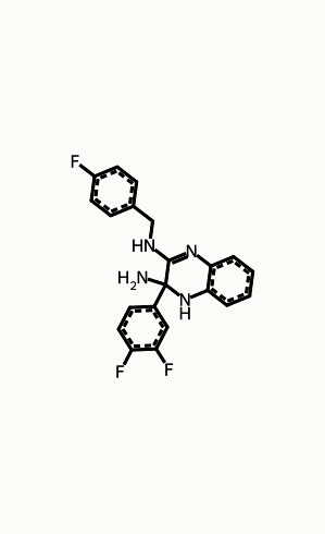 NC1(c2ccc(F)c(F)c2)Nc2ccccc2N=C1NCc1ccc(F)cc1